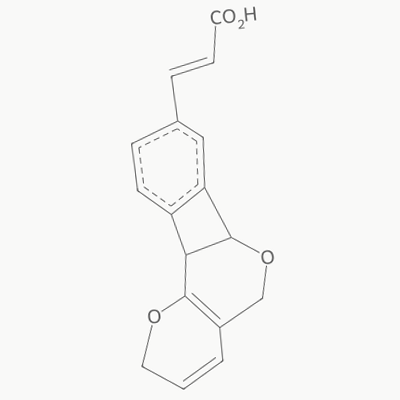 O=C(O)C=Cc1ccc2c(c1)C1OCC3=C(OCC=C3)C21